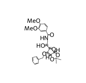 COc1ccc(C(=O)NC[C@@H](O)[C@H]2O[C@@H]3OC(C)(C)O[C@@H]3[C@H]2OCc2ccccc2)cc1OC